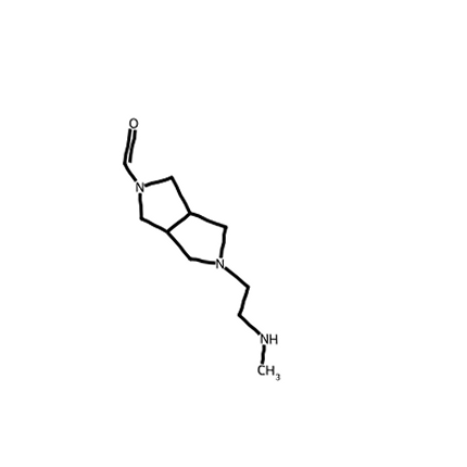 CNCCN1CC2CN(C=O)CC2C1